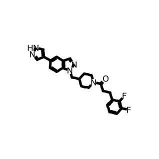 O=C(CCc1cccc(F)c1F)N1CCC(Cn2ncc3cc(-c4cn[nH]c4)ccc32)CC1